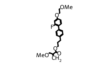 C=C(COC)C(=O)OCCCc1ccc(-c2ccc(OCCOC)cc2F)cc1